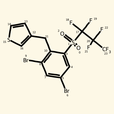 O=S(=O)(c1cc(Br)[c]c(Br)c1Cc1ccsc1)C(F)(F)C(F)(F)C(F)(F)F